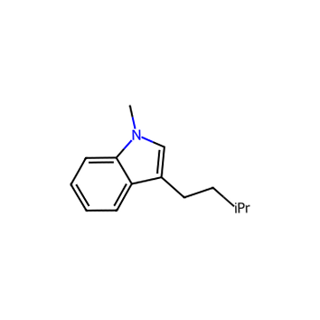 CC(C)CCc1cn(C)c2ccccc12